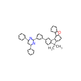 CC1(C)c2ccc(-c3cccc(-c4nc(-c5ccccc5)cc(-c5ccccc5)n4)c3)cc2-c2c1ccc1oc3ccccc3c21